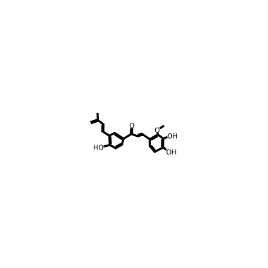 C=C(C)C=Cc1cc(C(=O)C=Cc2ccc(O)c(O)c2OC)ccc1O